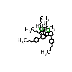 CCCCCCC1=Cc2c(-c3ccc(CCCC)cc3)cccc2[CH]1[Zr]([Cl])([Cl])([CH]1C(CCCCCC)=Cc2c(-c3ccc(CCCC)cc3)cccc21)[SiH](C)C